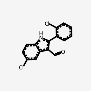 O=Cc1c(-c2ccccc2Cl)[nH]c2ccc(Cl)cc12